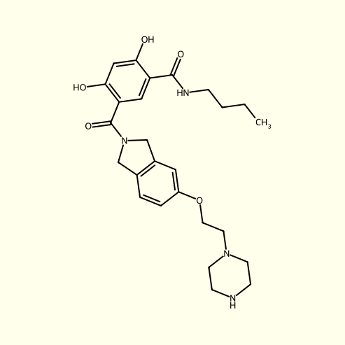 CCCCNC(=O)c1cc(C(=O)N2Cc3ccc(OCCN4CCNCC4)cc3C2)c(O)cc1O